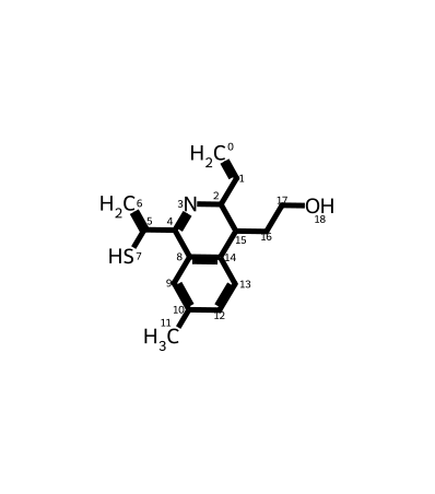 C=CC1N=C(C(=C)S)c2cc(C)ccc2C1CCO